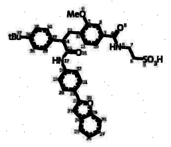 COc1cc(C(=O)NCCS(=O)(=O)O)ccc1CC(C(=O)Nc1ccc(-c2cc3ccccc3o2)cc1)c1ccc(C(C)(C)C)cc1